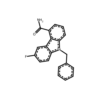 NC(=O)c1cccc2c1c1[c]c(F)ccc1n2Cc1ccccc1